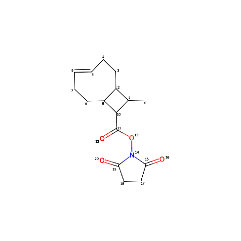 CC1C2CC/C=C/CCC2C1C(=O)ON1C(=O)CCC1=O